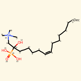 CCCCCCCCCCCCCCC/C=C\CCCCC(O)(C[N+](C)(C)C)P(=O)(O)O